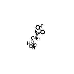 CN(C)S(=O)(=O)NC[C@@H]1CCN1C(=O)[C@@H]1C[C@H]1c1ccccc1-c1c(F)cccc1F